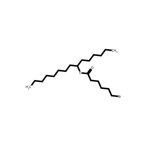 CCCCCCCCC(CCCCCC)OC(=O)CCCCCBr